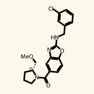 COC[C@H]1CCCN1C(=O)c1ccc2oc(NCc3cccc(Cl)c3)nc2c1